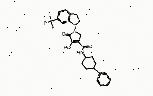 O=C(NC1CCC(c2ccccc2)CC1)C1=C(O)C(=O)N([C@@H]2CCc3ccc(C(F)(F)F)cc32)C1